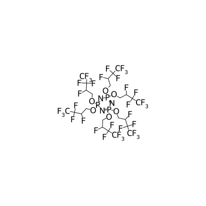 FC(COP1(OCC(F)C(F)(F)C(F)(F)F)=NP(OCC(F)C(F)(F)C(F)(F)F)(OCC(F)C(F)(F)C(F)(F)F)=NP(OCC(F)C(F)(F)C(F)(F)F)(OCC(F)C(F)(F)C(F)(F)F)=N1)C(F)(F)C(F)(F)F